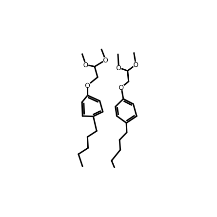 CCCCCc1ccc(OCC(OC)OC)cc1.CCCCCc1ccc(OCC(OC)OC)cc1